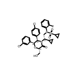 O=C1[C@H](CO)O[C@@H](c2cccc(Cl)c2)[C@@H](c2ccc(Cl)cc2)N1[C@H](CN(c1ccccc1F)S(=O)(=O)C1CC1)C1CC1